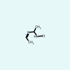 C/C=N\C(C)NCC